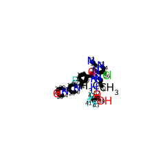 CC(C)CN(NC(=O)c1ccc(F)c(CN2CCC(N3CCOCC3)CC2)c1)c1nc(C#N)ncc1Cl.O=C(O)C(F)(F)F